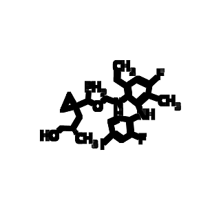 C=Cc1cc(F)c(C)c(Nc2ccc(I)cc2F)c1NCOC(P)C1(C[C@H](C)CO)CC1